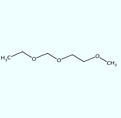 C[CH]OCOCCOC